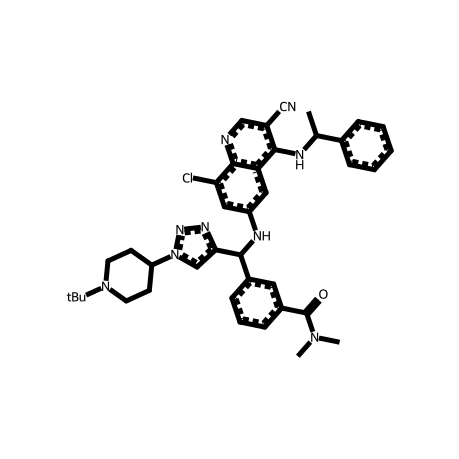 CC(Nc1c(C#N)cnc2c(Cl)cc(NC(c3cccc(C(=O)N(C)C)c3)c3cn(C4CCN(C(C)(C)C)CC4)nn3)cc12)c1ccccc1